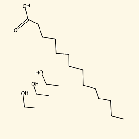 CCCCCCCCCCCCCC(=O)O.CCO.CCO.CCO